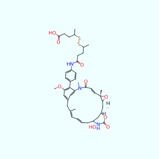 COc1cc2cc(c1-c1ccc(NC(=O)CCC(C)SSC(C)CCC(=O)O)cc1)N(C)C(=O)/C=C/[C@]1(C)O[C@H]1[C@H](C)[C@@H]1C[C@](O)(C/C=C/C=C(\C)C2)NC(=O)O1